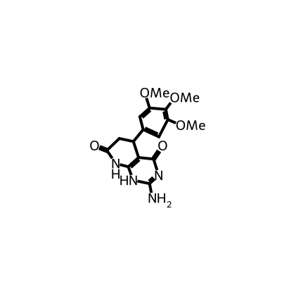 COc1cc(C2CC(=O)Nc3[nH]c(N)nc(=O)c32)cc(OC)c1OC